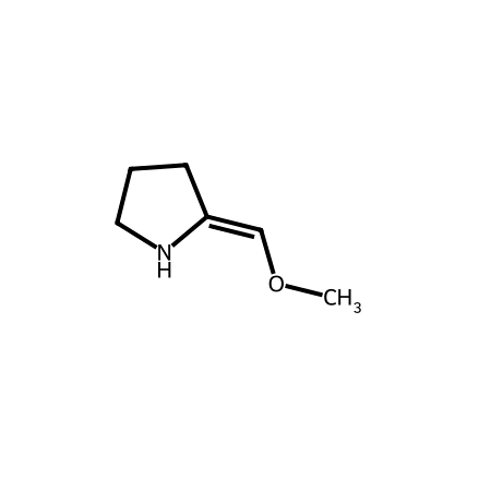 COC=C1CCCN1